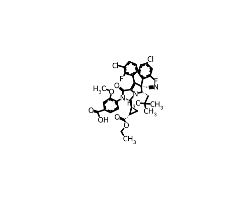 CCOC(=O)[C@H]1C[C@@H]1[C@@H]1N(c2ccc(C(=O)O)cc2OC)C(=O)C2=C(c3cccc(Cl)c3F)[C@@](C#N)(c3ccc(Cl)cc3F)[C@H](CC(C)(C)C)N21